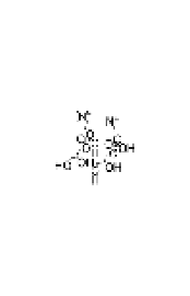 C[N+](C)(C)CCOP(=O)(O)OC[C@H](O)CO.C[N+](C)(C)CCOP(=O)(O)OC[C@H](O)CO